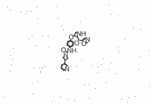 O=C(c1cnco1)C1NCC1Oc1ccc(NC(=O)N2CC(c3cccnc3)C2)cc1